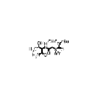 CCCCN(C=O)C(=O)N(CCC)CC(=O)NC(C(N)=O)[C@@H](C)O